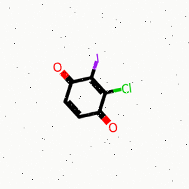 O=C1C=CC(=O)C(I)=C1Cl